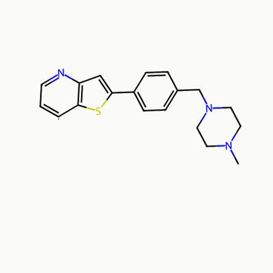 CN1CCN(Cc2ccc(-c3cc4ncc[c]c4s3)cc2)CC1